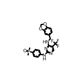 CP(C)(=O)c1ccc(Nc2ncc(C(F)(F)F)c(NCc3ccc4c(c3)OCO4)n2)cc1